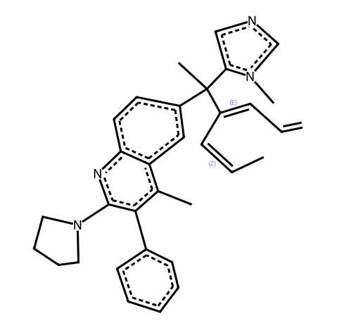 C=C/C=C(\C=C/C)C(C)(c1ccc2nc(N3CCCC3)c(-c3ccccc3)c(C)c2c1)c1cncn1C